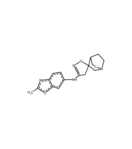 Cc1nc2ccc(NC3=NOC4(C3)CN3CCC4CC3)cc2s1